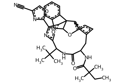 CCC(C)(C)C(=O)NC1Cc2ccc3c(c2)C2(c4ccccc4NC2O3)c2oc(nc2-c2nc(C#N)co2)C(C(C)(C)C)NC1=O